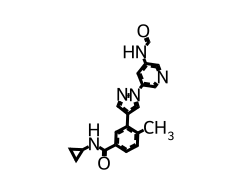 Cc1ccc(C(=O)NC2CC2)cc1-c1cnn(-c2cncc(NC=O)c2)c1